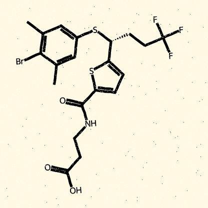 Cc1cc(S[C@H](CCC(F)(F)F)c2ccc(C(=O)NCCC(=O)O)s2)cc(C)c1Br